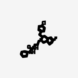 O=C(NCCCN1Cc2ccc(F)cc2CC1Cc1ccc(Cl)cc1)Nc1ccccc1